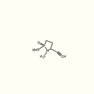 C#CC1CCP(=O)(SC)N1C